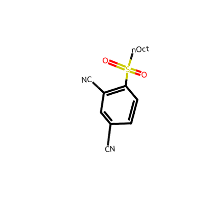 CCCCCCCCS(=O)(=O)c1ccc(C#N)cc1C#N